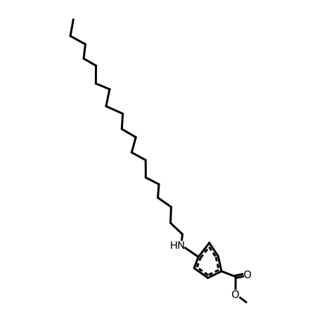 CCCCCCCCCCCCCCCCCCCNc1ccc(C(=O)OC)cc1